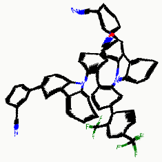 N#Cc1cccc(-c2ccc3c(c2)c2ccccc2n3-c2ccc(C#N)cc2-c2ccc(-c3ccc(C(F)(F)F)cc3C(F)(F)F)cc2-n2c3ccccc3c3cc(-c4cccc(C#N)c4)ccc32)c1